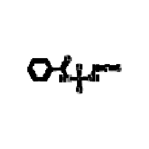 O=C(NS(=O)(=O)NN=C=S)c1ccccc1